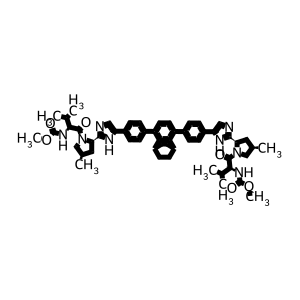 COC(=O)N[C@H](C(=O)N1C[C@H](C)C[C@H]1c1ncc(-c2ccc(-c3ccc(-c4ccc(-c5cnc([C@@H]6C[C@@H](C)CN6C(=O)[C@@H](NC(=O)OC)C(C)C)[nH]5)cc4)c4c3C3CCC4CC3)cc2)[nH]1)C(C)C